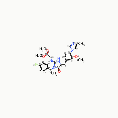 COc1cc(/C=C2\N/C(=N\CC(OC)OC)N(C(C)c3ccc(F)cc3)C2=O)ccc1-n1cnc(C)c1